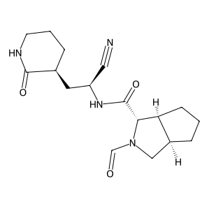 N#C[C@H](C[C@@H]1CCCNC1=O)NC(=O)[C@@H]1[C@H]2CCC[C@H]2CN1C=O